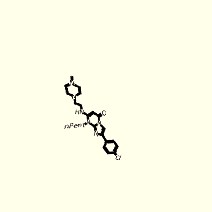 CCCCCn1c(NCCN2CCN(C)CC2)cc(=O)n2cc(-c3ccc(Cl)cc3)nc12